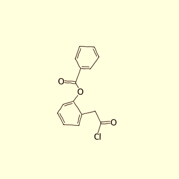 O=C(Cl)Cc1ccccc1OC(=O)c1ccccc1